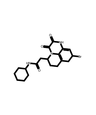 O=C(CC1CCC2=c3c([nH]c(=O)c(=O)n31)=CC(Br)C2)NC1CCCCC1